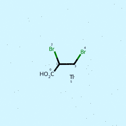 O=C(O)C(Br)CBr.[Tl]